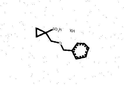 O=S(=O)(O)C1(COCc2ccccc2)CC1.[KH]